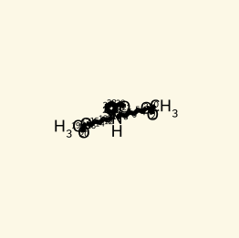 CC(=O)OCCCCCCNCCCCCCOC(C)=O.O=Cc1ccccc1